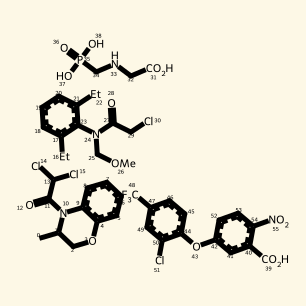 CC1COc2ccccc2N1C(=O)C(Cl)Cl.CCc1cccc(CC)c1N(COC)C(=O)CCl.O=C(O)CNCP(=O)(O)O.O=C(O)c1cc(Oc2ccc(C(F)(F)F)cc2Cl)ccc1[N+](=O)[O-]